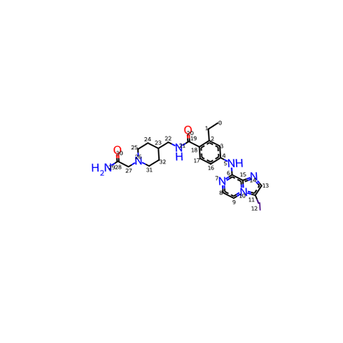 CCc1cc(Nc2nccn3c(I)cnc23)ccc1C(=O)NCC1CCN(CC(N)=O)CC1